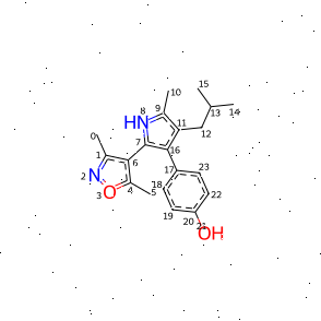 Cc1noc(C)c1-c1[nH]c(C)c(CC(C)C)c1-c1ccc(O)cc1